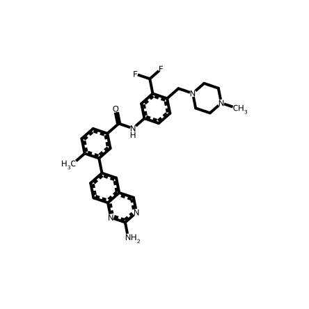 Cc1ccc(C(=O)Nc2ccc(CN3CCN(C)CC3)c(C(F)F)c2)cc1-c1ccc2nc(N)ncc2c1